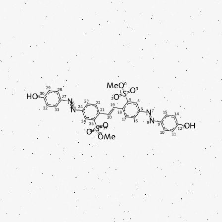 COS(=O)(=O)c1cc(N=Nc2ccc(O)cc2)ccc1C=Cc1ccc(N=Nc2ccc(O)cc2)cc1S(=O)(=O)OC